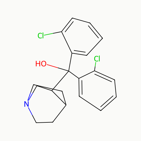 OC(c1ccccc1Cl)(c1ccccc1Cl)C1CN2CCC1CC2